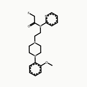 COc1ccccc1N1CCN(CCN(C(=O)CF)c2ccccn2)CC1